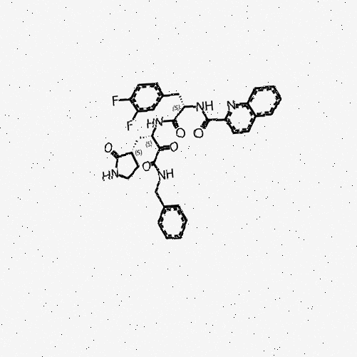 O=C(NCc1ccccc1)C(=O)[C@H](C[C@@H]1CCNC1=O)NC(=O)[C@H](Cc1ccc(F)c(F)c1)NC(=O)c1ccc2ccccc2n1